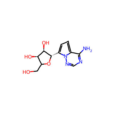 Nc1ncnn2c([C@@H]3OC(CO)[C@@H](O)[C@H]3O)ccc12